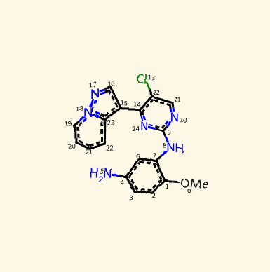 COc1ccc(N)cc1Nc1ncc(Cl)c(-c2cnn3ccccc23)n1